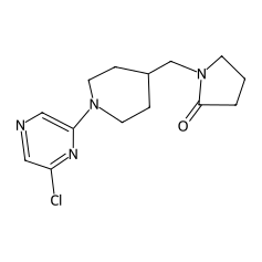 O=C1CCCN1CC1CCN(c2cncc(Cl)n2)CC1